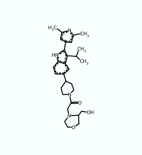 Cc1cc(-c2[nH]c3ccc(C4CCN(C(=O)CN5CCOCC5CO)CC4)cc3c2C(C)C)cc(C)n1